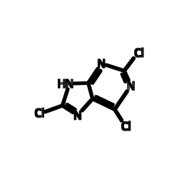 Clc1nc(Cl)c2nc(Cl)[nH]c2n1